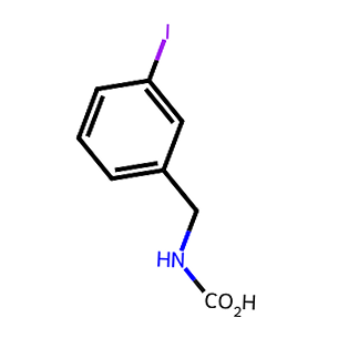 O=C(O)NCc1cccc(I)c1